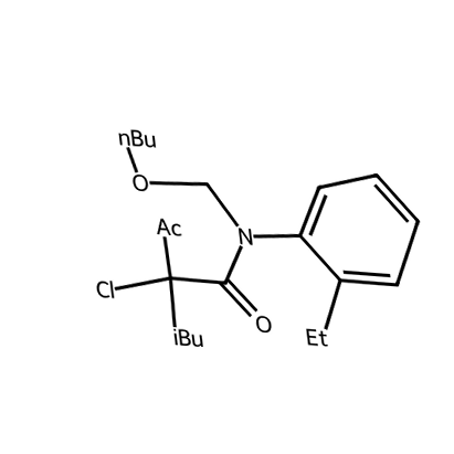 CCCCOCN(C(=O)C(Cl)(C(C)=O)C(C)CC)c1ccccc1CC